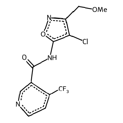 COCc1noc(NC(=O)c2cnccc2C(F)(F)F)c1Cl